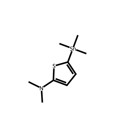 CN(C)c1cc[c]([Sn]([CH3])([CH3])[CH3])s1